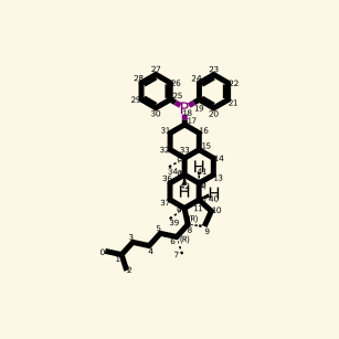 CC(C)CCC[C@@H](C)[C@H]1CC[C@H]2[C@@H]3CCC4CC(P(c5ccccc5)c5ccccc5)CC[C@]4(C)[C@H]3CC[C@]12C